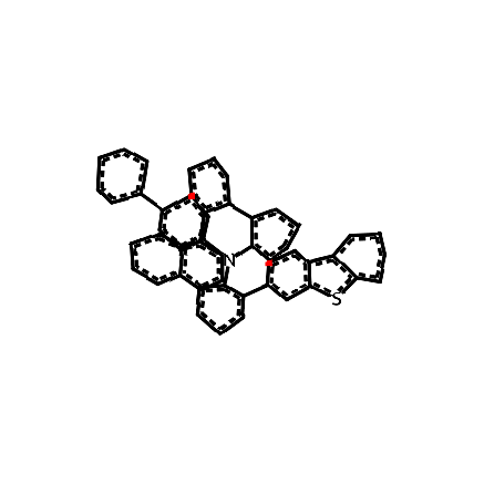 c1ccc(-c2ccc(N(c3ccccc3-c3ccc4c(c3)sc3ccccc34)c3ccccc3-c3ccccc3-c3cccc4ccccc34)cc2)cc1